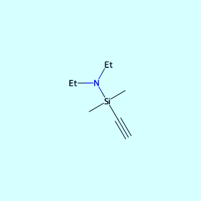 C#C[Si](C)(C)N(CC)CC